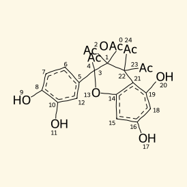 CC(=O)OC1(C(C)=O)C(C(C)=O)(c2ccc(O)c(O)c2)Oc2cc(O)cc(O)c2C1(C(C)=O)C(C)=O